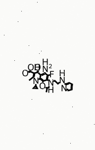 Cc1c(C(=O)O)c(=O)c2c(N)c(F)c(NCCNc3ccccn3)c(OC(C)C)c2n1C1CC1